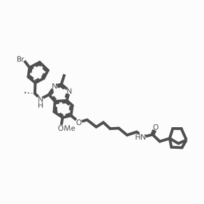 COc1cc2c(N[C@H](C)c3cccc(Br)c3)nc(C)nc2cc1OCCCCCCCNC(=O)CC12CCC(CC1)C2